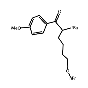 CCCOCCCCC(C(=O)c1ccc(OC)cc1)C(C)(C)C